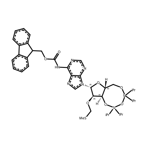 CSCO[C@@H]1[C@@H]2O[Si](C(C)C)(C(C)C)O[Si](C(C)C)(C(C)C)OC[C@H]2O[C@H]1n1cnc2c(NC(=O)OCC3c4ccccc4-c4ccccc43)ncnc21